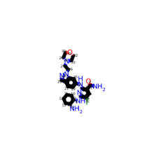 NC(=O)c1cc(F)c(N[C@@H]2CCCC[C@@H]2N)nc1Nc1ccc2cnn(CCN3CCOCC3)c2c1